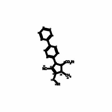 CCOC(=O)C1C(c2ccc(-c3ccccc3)cc2)C(C#N)=C(SCC)N1C